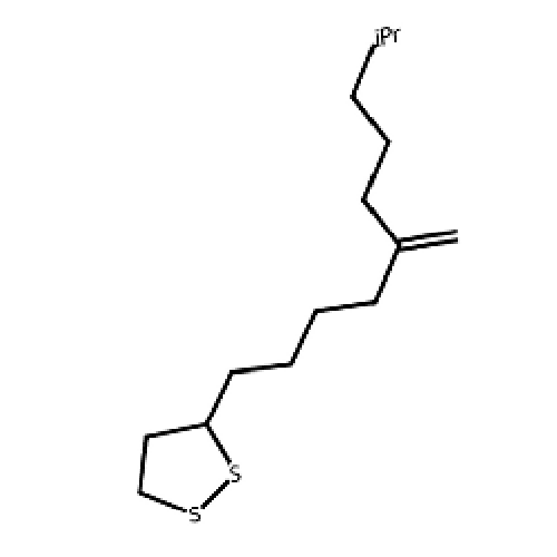 C=C(CCCCC1CCSS1)CCCC(C)C